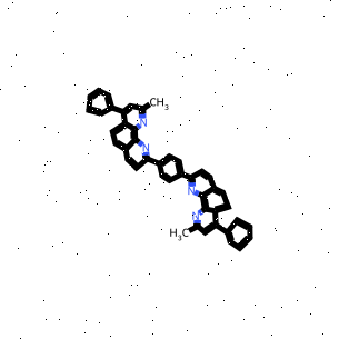 Cc1cc(-c2ccccc2)c2ccc3ccc(-c4ccc(-c5ccc6ccc7c(-c8ccccc8)cc(C)nc7c6n5)cc4)nc3c2n1